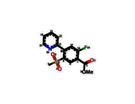 COC(=O)c1cc(S(C)(=O)=O)c(-c2ccccn2)cc1F